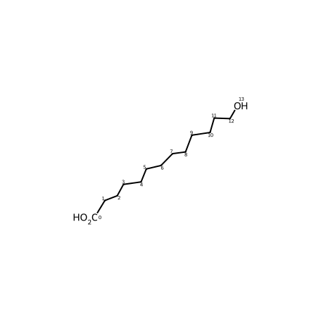 O=C(O)CCCCCCCCCCCCO